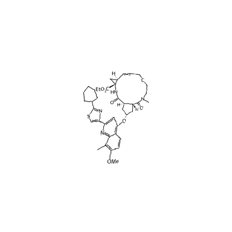 CCOC(=O)[C@@]12C[C@H]1/C=C\CCCCN(C)C(=O)[C@@H]1C[C@H](Oc3cc(-c4csc(C5CCCCC5)n4)nc4c(C)c(OC)ccc34)C[C@H]1C(=O)N2